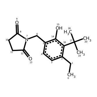 CCc1ccc(CN2C(=O)CCC2=O)c(O)c1C(C)(C)C